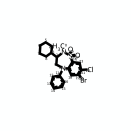 CN1C(C2CCCCC2)CN(c2ccccc2)c2cc(Br)c(Cl)cc2S1(=O)=O